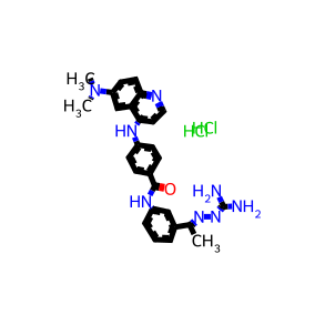 CC(=NN=C(N)N)c1cccc(NC(=O)c2ccc(Nc3ccnc4ccc(N(C)C)cc34)cc2)c1.Cl.Cl